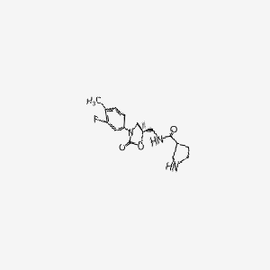 Cc1ccc(N2C[C@@H](CNC(=O)C3CCNC3)OC2=O)cc1F